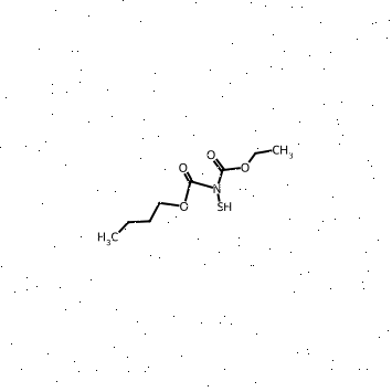 CCCCOC(=O)N(S)C(=O)OCC